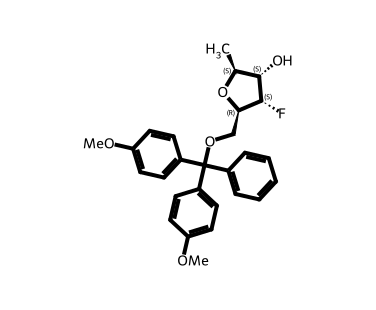 COc1ccc(C(OC[C@H]2O[C@@H](C)[C@H](O)[C@@H]2F)(c2ccccc2)c2ccc(OC)cc2)cc1